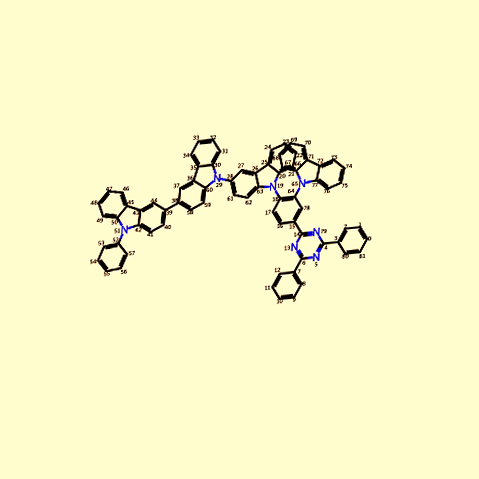 c1ccc(-c2nc(-c3ccccc3)nc(-c3ccc(-n4c5ccccc5c5cc(-n6c7ccccc7c7cc(-c8ccc9c(c8)c8ccccc8n9-c8ccccc8)ccc76)ccc54)c(-n4c5ccccc5c5ccccc54)c3)n2)cc1